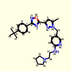 Cc1cc(-c2nc(-c3ccc(C(C)(C)C)cc3)no2)nn1Cc1ccc(NCCN2CCCC2)nc1